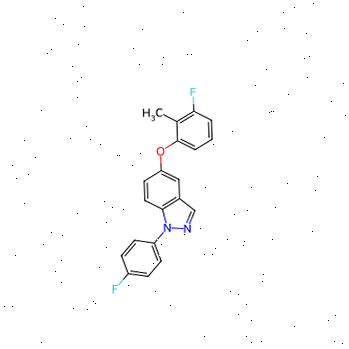 Cc1c(F)cccc1Oc1ccc2c(cnn2-c2ccc(F)cc2)c1